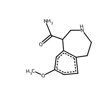 COc1[c]cc2c(c1)C(C(N)=O)CNCC2